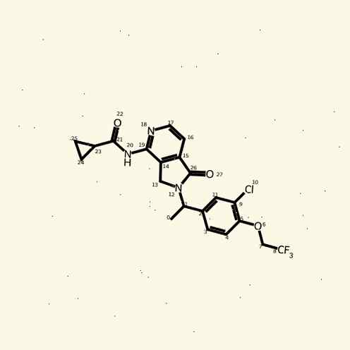 CC(c1ccc(OCC(F)(F)F)c(Cl)c1)N1Cc2c(ccnc2NC(=O)C2CC2)C1=O